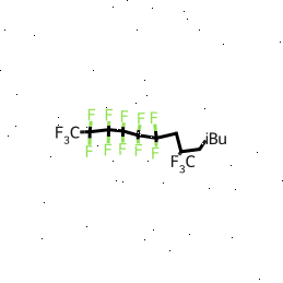 CCC(C)CC(CC(F)(F)C(F)(F)C(F)(F)C(F)(F)C(F)(F)C(F)(F)F)C(F)(F)F